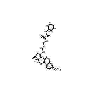 COc1ccc2c(c1)CCC1C2CC[C@]2(C)C(=O)C[C@@H](CCCCCC(=O)NCc3ccncc3)C12